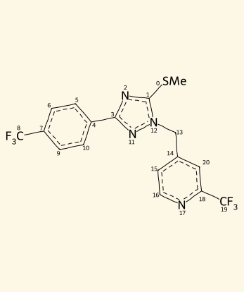 CSc1nc(-c2ccc(C(F)(F)F)cc2)nn1Cc1ccnc(C(F)(F)F)c1